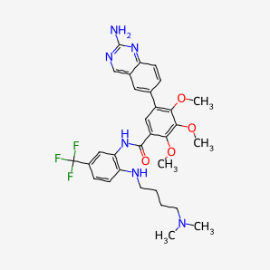 COc1c(C(=O)Nc2cc(C(F)(F)F)ccc2NCCCCN(C)C)cc(-c2ccc3nc(N)ncc3c2)c(OC)c1OC